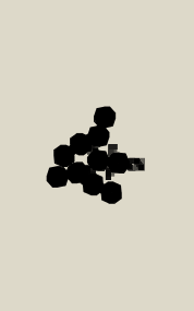 N#Cc1cc(F)c(-c2cc(-n3c4ccc(-c5ccccc5)cc4c4ccc(-c5ccccc5)cc43)cc(-n3c4ccc(-c5ccccc5)cc4c4ccc(-c5ccccc5)cc43)c2)c(F)c1